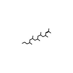 CCCC(C)CC(C)CC(C)CC(C)CC(C)C=C(C)C